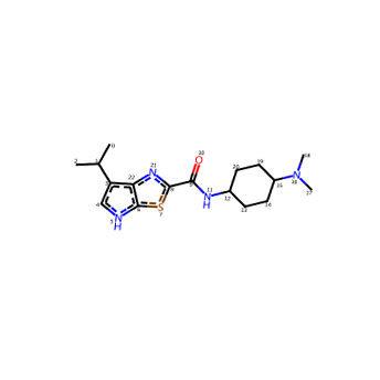 CC(C)c1c[nH]c2sc(C(=O)NC3CCC(N(C)C)CC3)nc12